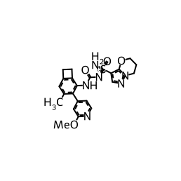 COc1cc(-c2c(C)cc3c(c2NC(=O)N=[S@](N)(=O)c2cnn4c2OCCC4)CC3)ccn1